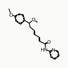 COc1ccc(C(C/C=C/C=C/C(=O)Nc2ccccn2)OC)cc1